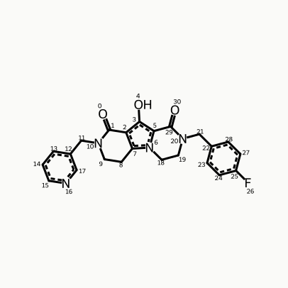 O=C1c2c(O)c3n(c2CCN1Cc1cccnc1)CCN(Cc1ccc(F)cc1)C3=O